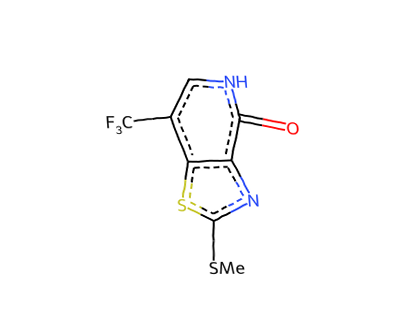 CSc1nc2c(=O)[nH]cc(C(F)(F)F)c2s1